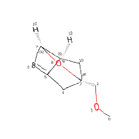 COC[C@]12CC3=B[C@H](O1)[C@H]3C2